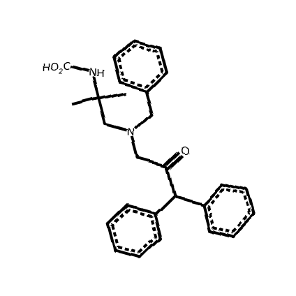 CC(C)(CN(CC(=O)C(c1ccccc1)c1ccccc1)Cc1ccccc1)NC(=O)O